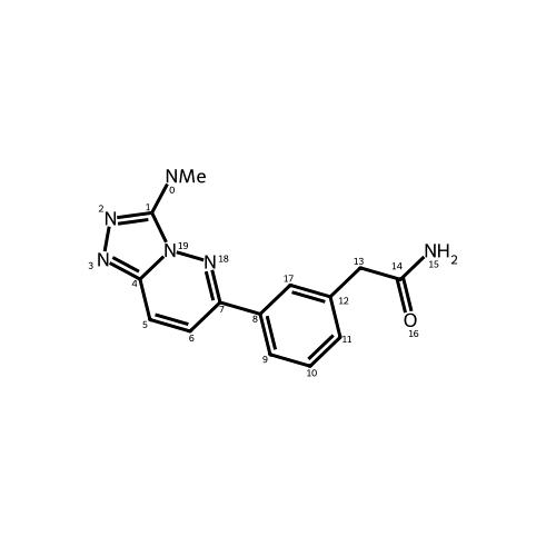 CNc1nnc2ccc(-c3cccc(CC(N)=O)c3)nn12